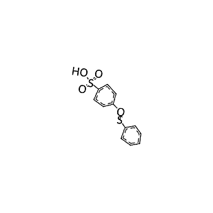 O=S(=O)(O)c1ccc(OSc2ccccc2)cc1